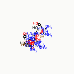 C[C@@H](O)[C@H](N)C(=O)N[C@@H](Cc1ccc(O)cc1)C(=O)N[C@H](C(=O)N[C@@H](CC(N)=O)C(=O)N[C@@H](CCCNC(=N)N)C(=O)N[C@@H](CCN)C(=O)N[C@@H](CO)C(=O)N[C@H](CCN)C(=O)N[C@@H](CCCCN)C(=O)N[C@@H](CS)C(=O)N[C@@H](CCN)C(=O)N[C@@H](CCCN)C(=O)N[C@@H](Cc1ccc(O)cc1)C(=O)O)C(C)(C)S